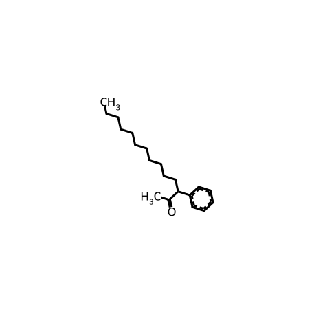 CCCCCCCCCCCC(C(C)=O)c1ccccc1